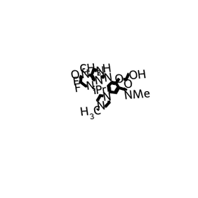 CNC(=O)c1cc(N2CCN(C)CC2)cc(Nc2ncc3c(n2)N(C(C)C)CC(F)(F)C(=O)N3C)c1OCCO